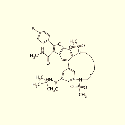 CNC(=O)c1c(-c2ccc(F)cc2)oc2cc3c(cc12)-c1cc(C(=O)NC(C)(C)C)cc(c1)N(S(C)(=O)=O)CCCCCCN3S(C)(=O)=O